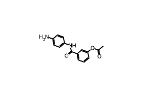 CC(=O)Oc1cccc(C(=O)Nc2ccc(N)cc2)c1